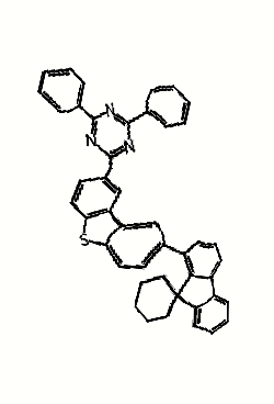 c1ccc(-c2nc(-c3ccccc3)nc(-c3ccc4sc5ccc(-c6cccc7c6C6(CCCCC6)c6ccccc6-7)cc5c4c3)n2)cc1